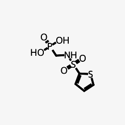 O=P(O)(O)CNS(=O)(=O)c1cccs1